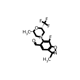 Cc1noc2c(F)c(N3C[C@@H](C(F)(F)F)O[C@@H](C)C3)c(C=O)cc12